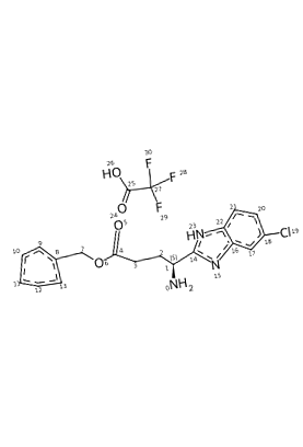 N[C@@H](CCC(=O)OCc1ccccc1)c1nc2cc(Cl)ccc2[nH]1.O=C(O)C(F)(F)F